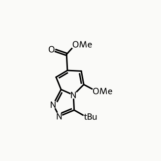 COC(=O)c1cc(OC)n2c(C(C)(C)C)nnc2c1